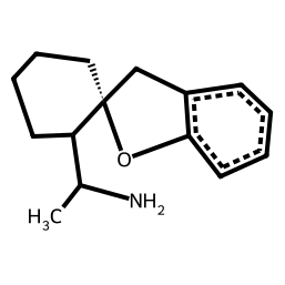 CC(N)C1CCCC[C@@]12Cc1ccccc1O2